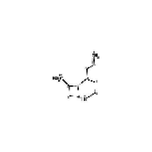 C=CCC1CCNC2CC(C(=O)O)C12